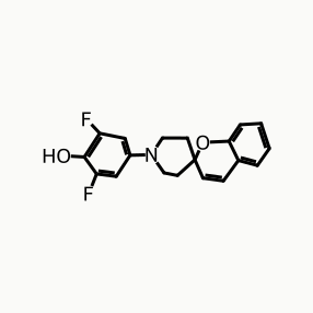 Oc1c(F)cc(N2CCC3(C=Cc4ccccc4O3)CC2)cc1F